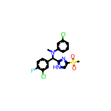 CN(c1cccc(Cl)c1)C(c1ccc(F)c(Cl)c1)c1nc(S(C)(=O)=O)c[nH]1